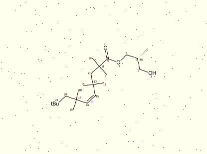 C[C@H](CO)COC(=O)C(C)(C)CC(C)(C)/C=C\C(C)(C)CC(C)(C)C